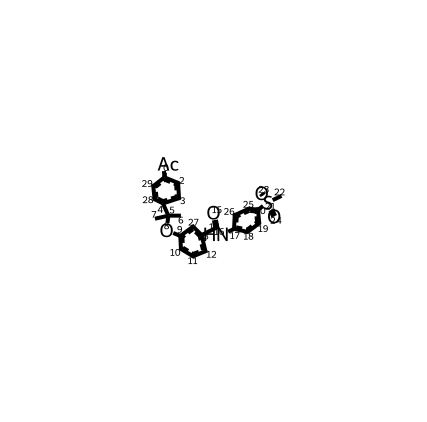 CC(=O)c1ccc(C(C)(C)Oc2cccc(C(=O)Nc3ccc(S(C)(=O)=O)cc3)c2)cc1